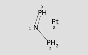 P=NP.[Pt]